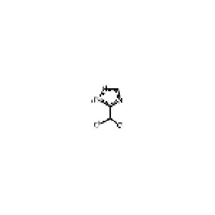 ClC(Cl)c1ncn[nH]1